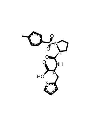 Cc1ccc(S(=O)(=O)N2CCC[C@H]2C(=O)N[C@@H](Cc2cccs2)C(=O)O)cc1